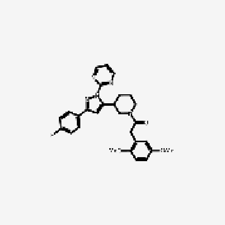 COc1ccc(OC)c(CC(=O)N2CCCC(c3cc(-c4ccc(F)cc4)nn3-c3ncccn3)C2)c1